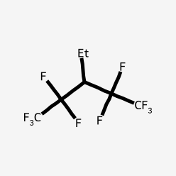 CCC(C(F)(F)C(F)(F)F)C(F)(F)C(F)(F)F